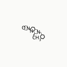 CC=C1CN(Cc2ccccc2)Cc2ccc(N3CCOCC3)nc21